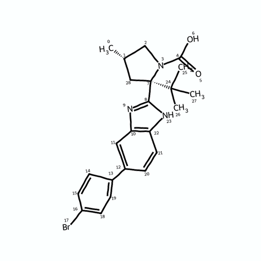 C[C@@H]1CN(C(=O)O)[C@](c2nc3cc(-c4ccc(Br)cc4)ccc3[nH]2)(C(C)(C)C)C1